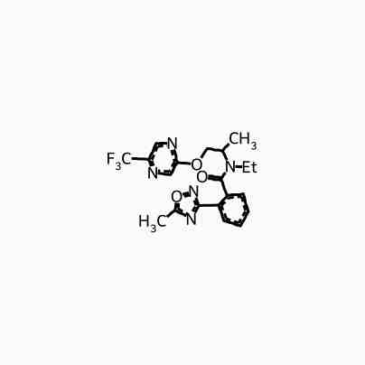 CCN(C(=O)c1ccccc1-c1noc(C)n1)C(C)COc1cnc(C(F)(F)F)cn1